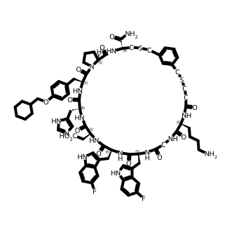 NCCCC[C@@H]1NC(=O)CCSCc2cccc(c2)CSC[C@@H](C(N)=O)NC(=O)[C@@H]2CCCN2C(=O)[C@H](Cc2ccc(OCC3CCCCC3)cc2)NC(=O)[C@@H](Cc2cnc[nH]2)NC(=O)[C@H](CC(=O)O)NC(=O)[C@H](Cc2c[nH]c3ccc(F)cc23)NC(=O)[C@H](Cc2c[nH]c3ccc(F)cc23)NC(=O)CNC1=O